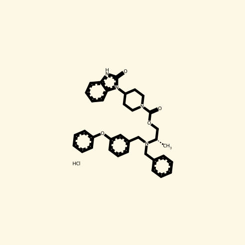 C[C@@H](COC(=O)N1CCC(n2c(=O)[nH]c3ccccc32)CC1)N(Cc1ccccc1)Cc1cccc(Oc2ccccc2)c1.Cl